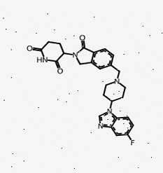 O=C1CCC(N2Cc3cc(CN4CCC(n5cnc6cc(F)ccc65)CC4)ccc3C2=O)C(=O)N1